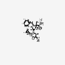 CNC(=O)C(I)(CCc1ccccc1)NC(=O)N(CC(=O)OC)CC1CC1